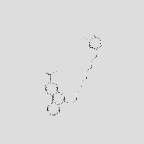 Cc1ccc(CNCCCCOC[C@H](C)Oc2nc3cc(C(N)=O)ccc3c3cnccc23)cc1Cl